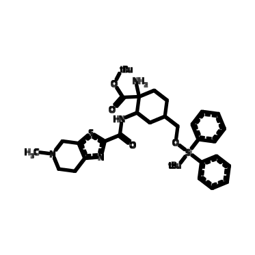 CN1CCc2nc(C(=O)NC3CC(CO[Si](c4ccccc4)(c4ccccc4)C(C)(C)C)CCC3(N)C(=O)OC(C)(C)C)sc2C1